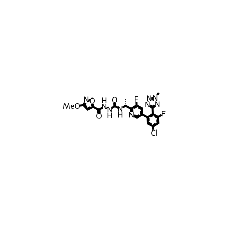 COc1cc(C(=O)NNC(=O)N[C@H](C)c2ncc(-c3cc(Cl)cc(F)c3-c3nnn(C)n3)cc2F)on1